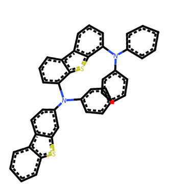 c1ccc(N(c2ccccc2)c2cccc3c2sc2c(N(c4ccccc4)c4ccc5c(c4)sc4ccccc45)cccc23)cc1